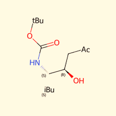 CC[C@H](C)[C@H](NC(=O)OC(C)(C)C)[C@H](O)CC(C)=O